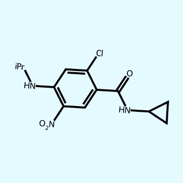 CC(C)Nc1cc(Cl)c(C(=O)NC2CC2)cc1[N+](=O)[O-]